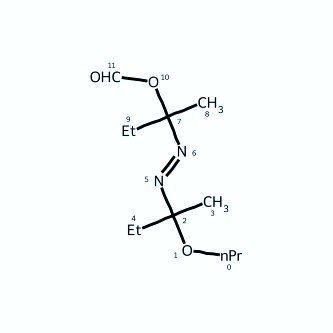 CCCOC(C)(CC)N=NC(C)(CC)OC=O